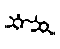 CC(CCC(=O)N[C@H](C)C(=O)O)c1ccc(O)cc1O